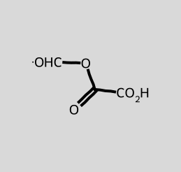 O=[C]OC(=O)C(=O)O